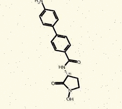 Nc1ccc(-c2ccc(C(=O)N[C@@H]3CCN(O)C3=O)cc2)cc1